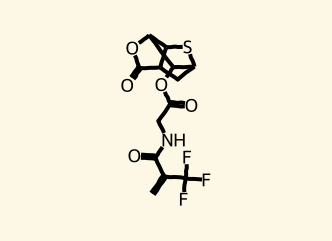 C=C(C(=O)NCC(=O)OC1C2CC3C(=O)OC1C3S2)C(F)(F)F